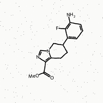 COC(=O)c1ncn2c1CCC(c1cccc(N)c1F)C2